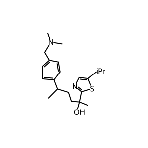 CC(C)c1cnc(C(C)(O)CCC(C)c2ccc(CN(C)C)cc2)s1